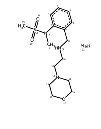 CN(c1ccccc1CNCCN1CCOCC1)S(C)(=O)=O.[NaH]